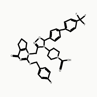 O=C(O)N1CCC(N2C(Cn3c(SCc4ccc(F)cc4)nc(=O)c4c3CCC4)=NOC2c2ccc(-c3ccc(C(F)(F)F)cc3)cc2)CC1